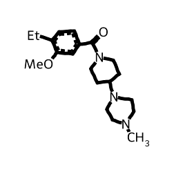 CCc1ccc(C(=O)N2CCC(N3CCN(C)CC3)CC2)cc1OC